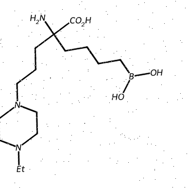 CCN1CCN(CCCC(N)(CCCCB(O)O)C(=O)O)CC1